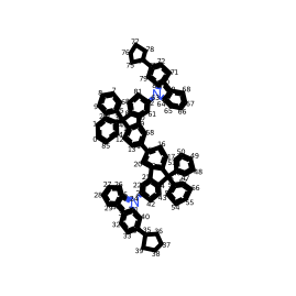 c1ccc(C2(c3ccccc3)c3ccc(-c4ccc5c(c4)-c4cc(-n6c7ccccc7c7ccc(C8CCCC8)cc76)ccc4C5(c4ccccc4)c4ccccc4)cc3-c3cc(-n4c5ccccc5c5ccc(C6CCCC6)cc54)ccc32)cc1